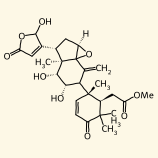 C=C1C([C@@]2(C)C=CC(=O)C(C)(C)[C@@H]2CC(=O)OC)[C@H](O)[C@H](O)[C@@]2(C)[C@H](C3=CC(=O)OC3O)C[C@H]3OC132